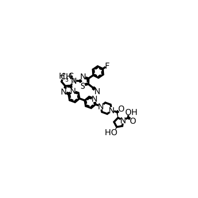 CCc1nc2ccc(-c3ccc(N4CCN(C(=O)[C@@H]5C[C@@H](O)CN5C(=O)O)CC4)nc3)cn2c1N(C)c1nc(-c2ccc(F)cc2)c(C#N)s1